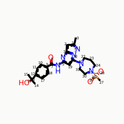 Cc1cc2nc(NC(=O)c3ccc(C(C)(C)O)cc3)cc(N3CCCN(S(C)(=O)=O)CC3)n2n1